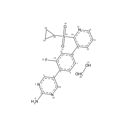 Nc1ncc(-c2ccc(-c3cccnc3S(=O)(=O)C3CC3)cc2F)cn1.O=CO